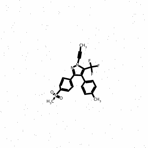 CC#Cn1nc(-c2ccc(S(C)(=O)=O)cc2)c(-c2ccc(C)cc2)c1C(F)(F)F